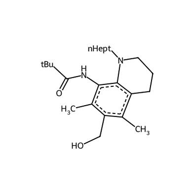 CCCCCCCN1CCCc2c(C)c(CO)c(C)c(NC(=O)C(C)(C)C)c21